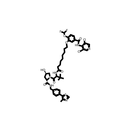 Cc1ncsc1-c1ccc(CNC(=O)[C@@H]2C[C@@H](O)CN2C(=O)C(NC(=O)CCCCCCCCOc2cc(C(=O)Nc3c(Cl)cncc3Cl)ccc2OC(F)F)C(C)(C)C)cc1